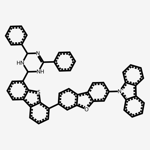 c1ccc(C2=NC(c3ccccc3)NC(c3cccc4c3sc3c(-c5ccc6c(c5)oc5cc(-n7c8ccccc8c8ccccc87)ccc56)cccc34)N2)cc1